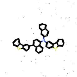 c1ccc2cc(N(c3ccc4sc5ccccc5c4c3)c3ccc(-c4ccc5sc6ccccc6c5c4)c4ccccc34)ccc2c1